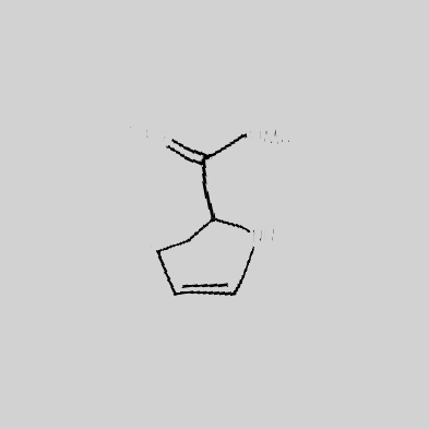 COC(=O)C1CC=CN1